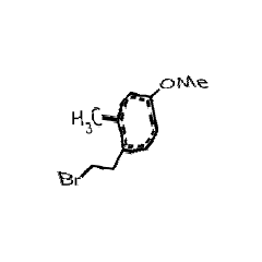 COc1ccc(CCBr)c(C)c1